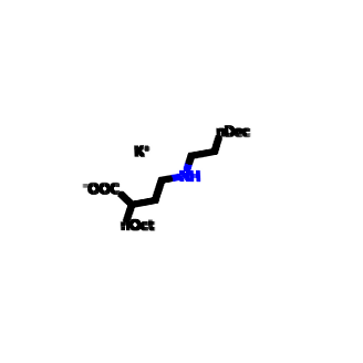 CCCCCCCCCCCCNCCC(CCCCCCCC)C(=O)[O-].[K+]